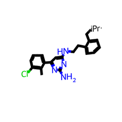 C[C](C)Cc1ccccc1CCNc1cc(-c2cccc(Cl)c2C)nc(N)n1